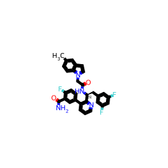 Cc1ccc2c(ccn2CC(=O)N[C@@H](Cc2cc(F)cc(F)c2)c2ncccc2-c2ccc(F)c(C(N)=O)c2)c1